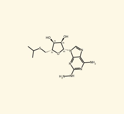 CC(C)SC[C@H]1O[C@@H](n2cnc3c(N)nc(NN)nc32)[C@H](O)[C@@H]1O